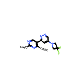 COc1ncc(-c2cc(N3CC(F)(F)C3)cnn2)c(OC)n1